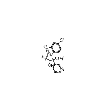 CC(O)C(O)(c1cccnc1)C(C)c1ccc(Cl)cc1Cl